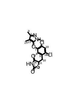 Cc1nn(C)c(Oc2cc(CC3SC(=O)NC3=O)c(Cl)cc2Cl)c1C